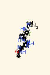 CN(C)CCNc1cc(F)cc(-c2ccnc3[nH]c(-c4n[nH]c5ncc(-c6cncc(NC(=O)C7CCC7)c6)cc45)cc23)c1